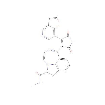 CNC(=O)C1Cc2cccc3c2N1C=CN=C3C1=C(c2cncc3ccoc23)C(=O)NC1=O.Cl